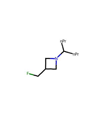 CCCC(CCC)N1CC(CF)C1